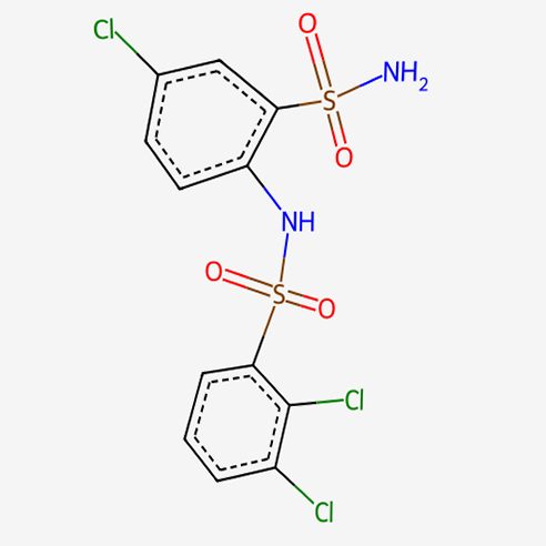 NS(=O)(=O)c1cc(Cl)ccc1NS(=O)(=O)c1cccc(Cl)c1Cl